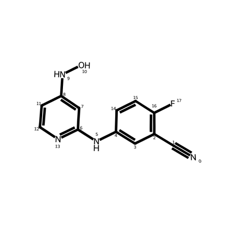 N#Cc1cc(Nc2cc(NO)ccn2)ccc1F